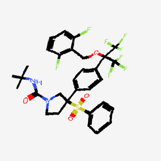 CC(C)(C)NC(=O)N1CCC(c2ccc(C(OCc3c(F)cccc3F)(C(F)(F)F)C(F)(F)F)cc2)(S(=O)(=O)c2ccccc2)C1